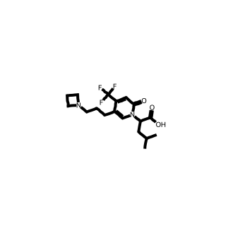 CC(C)CC(C(=O)O)n1cc(CCCN2CCC2)c(C(F)(F)F)cc1=O